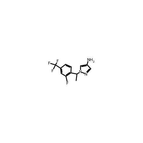 CC(c1ccc(C(F)(F)F)cc1F)n1cc(N)cn1